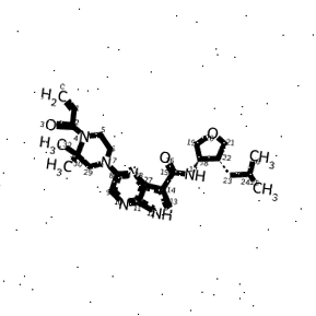 C=CC(=O)N1CCN(c2cnc3[nH]cc(C(=O)N[C@@H]4COC[C@@H]4CC(C)C)c3n2)CC1(C)C